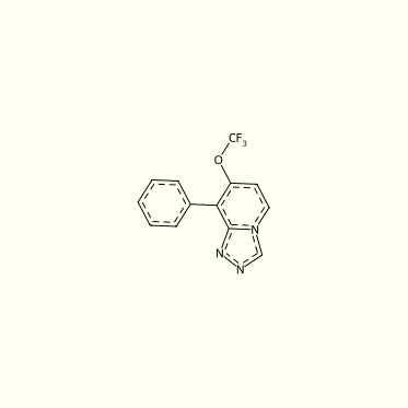 FC(F)(F)Oc1ccn2cnnc2c1-c1ccccc1